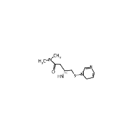 CN(C)C(=O)C[C@@H]([NH])CSN1C=NC=CC1